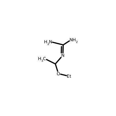 [CH2]COC(C)N=C(N)N